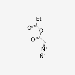 CCC(=O)OC(=O)C=[N+]=[N-]